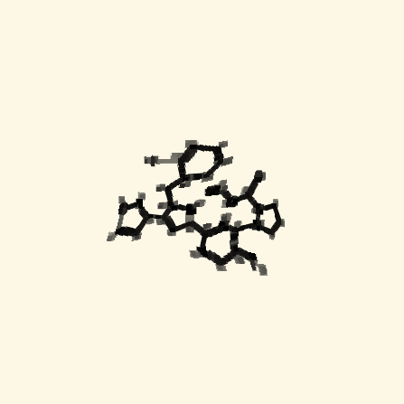 CC(C)(C)OC(=O)N1CCCN1c1nc(-c2cc(-c3ccon3)n(Cc3ccccc3F)n2)ncc1F